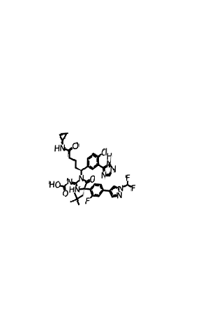 CC(C)(C)C[C@]1(c2ccc(-c3cnn(C(F)F)c3)cc2F)NC(=NC(=O)O)N([C@@H](CCCC(=O)NC2CC2)c2ccc(Cl)c(-c3ncn[nH]3)c2)C1=O